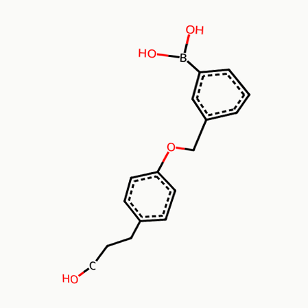 OCCCc1ccc(OCc2cccc(B(O)O)c2)cc1